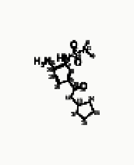 CN(C)S(=O)(=O)Nc1cc(C(=O)CC2CCCC2)ccc1N